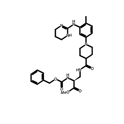 COC(=O)[C@H](CNC(=O)C1CCN(c2ccc(C)c(NC3=NCCCN3)c2)CC1)NC(=O)OCc1ccccc1